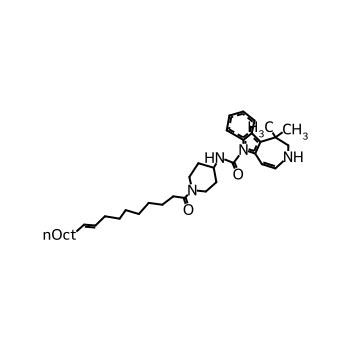 CCCCCCCCC=CCCCCCCCC(=O)N1CCC(NC(=O)n2c3c(c4ccccc42)C(C)(C)CNC=C3)CC1